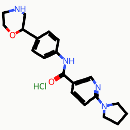 Cl.O=C(Nc1ccc(C2CNCCO2)cc1)c1ccc(N2CCCC2)nc1